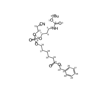 CC(C)(C)OC(=O)NCCCOP(=O)(OCCC#N)OCCCCCC(=O)OCc1ccccc1